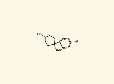 COC1(c2ccc(F)cc2)CCC(N)CC1